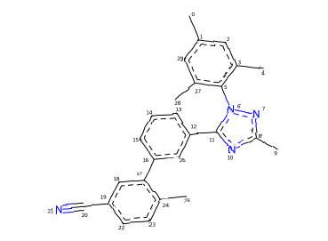 Cc1cc(C)c(-n2nc(C)nc2-c2cccc(-c3cc(C#N)ccc3C)c2)c(C)c1